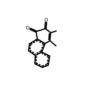 CC1=C(C)c2c(ccc3ccccc23)C(=O)C1=O